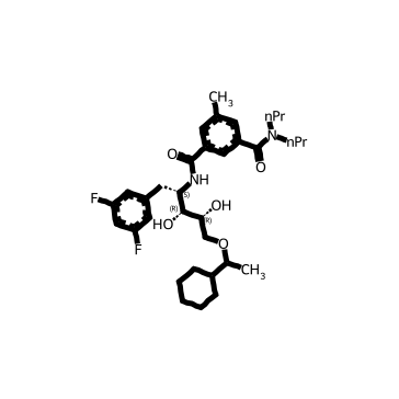 CCCN(CCC)C(=O)c1cc(C)cc(C(=O)N[C@@H](Cc2cc(F)cc(F)c2)[C@@H](O)[C@H](O)COC(C)C2CCCCC2)c1